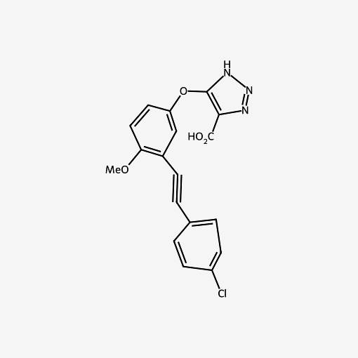 COc1ccc(Oc2[nH]nnc2C(=O)O)cc1C#Cc1ccc(Cl)cc1